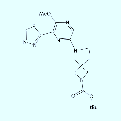 COc1ncc(N2CCC3(CN(C(=O)OC(C)(C)C)C3)C2)nc1-c1nncs1